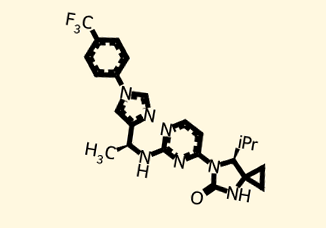 CC(C)[C@@H]1N(c2ccnc(N[C@@H](C)c3cn(-c4ccc(C(F)(F)F)cc4)cn3)n2)C(=O)NC12CC2